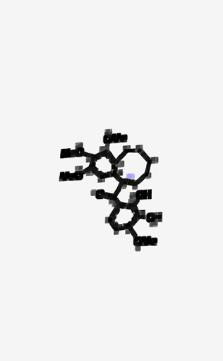 COc1ccc(C(=O)/C2=C/CCCCc3c2cc(OC)c(OC)c3OC)c(O)c1O